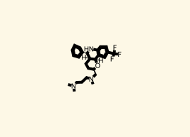 CN(C)CCCN(C)C[C@H]1CC[C@@H]2[C@H](O1)c1cc(C(F)(F)F)ccc1N[C@H]2c1ccccc1